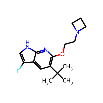 CC(C)(C)c1cc2c(F)c[nH]c2nc1OCCN1CCC1